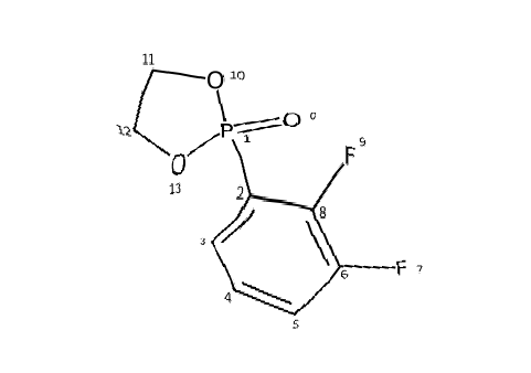 O=P1(c2cccc(F)c2F)OCCO1